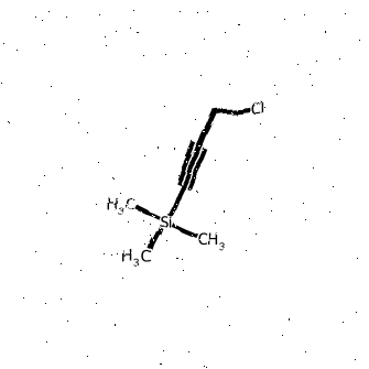 C[Si](C)(C)C#CCCl